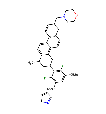 C1=CCN=C1.COc1cc(OC)c(F)c(C2Cc3c(ccc4c5c(ccc34)CC(CN3CCOCC3)C=C5)C(C)C2)c1F